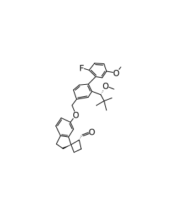 COc1ccc(F)c(-c2ccc(COc3ccc4c(c3)[C@@]3(CC4)CC[C@H]3C=O)cc2[C@H](OC)C(C)(C)C)c1